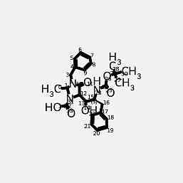 CC1N(Cc2ccccc2)C(=O)C(C(O)[C@H](Cc2ccccc2)NC(=O)OC(C)(C)C)N1C(=O)O